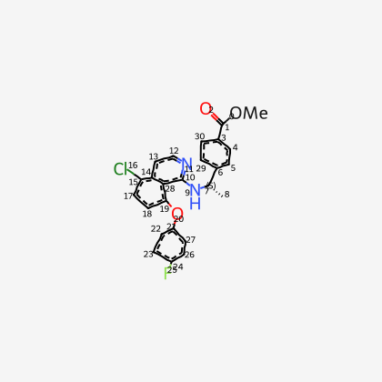 COC(=O)c1ccc([C@H](C)Nc2nccc3c(Cl)ccc(Oc4ccc(F)cc4)c23)cc1